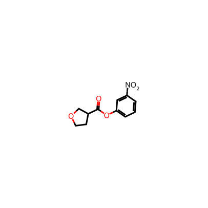 O=C(Oc1cccc([N+](=O)[O-])c1)C1CCOC1